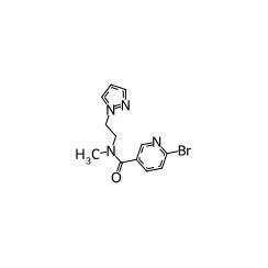 CN(CCn1cccn1)C(=O)c1ccc(Br)nc1